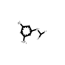 CCc1cc(OC(F)F)cc(C(F)(F)F)c1